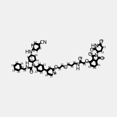 N#Cc1ccc(N[C@H]2CC[C@H](N(C(=O)NCc3ccccc3)c3ccc(-c4ccnc(OCCOCCCNC(=O)COc5cccc6c5C(=O)N(C5CCC(=O)NC5=O)C6=O)c4)cc3)CC2)nc1